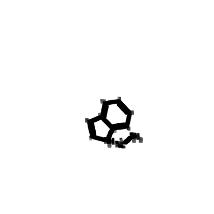 BC#N.c1ccc2[nH]ccc2c1